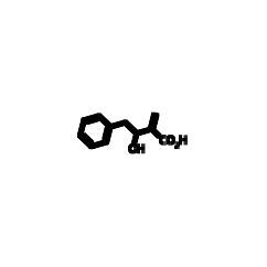 C=C(C(=O)O)C(O)Cc1ccccc1